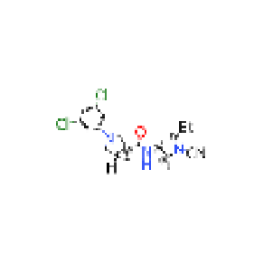 CC[C@H]1C[C@@H](NC(=O)[C@]23C[C@@H]2CN(c2cc(Cl)cc(Cl)c2)C3)[C@@H](C)N1C#N